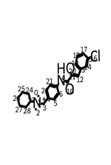 C[N+](C)(Cc1ccc(NC(=O)c2cc3cc(Cl)ccc3o2)cc1)C1CCCCC1